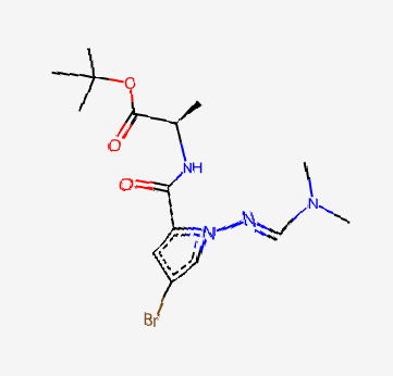 C[C@@H](NC(=O)c1cc(Br)cn1/N=C/N(C)C)C(=O)OC(C)(C)C